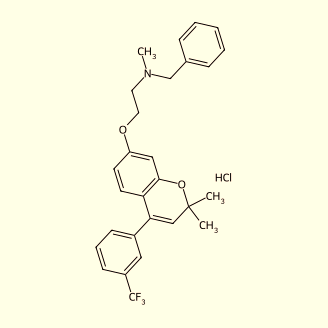 CN(CCOc1ccc2c(c1)OC(C)(C)C=C2c1cccc(C(F)(F)F)c1)Cc1ccccc1.Cl